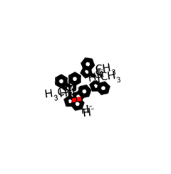 C[Si](C)=[Hf]([CH2]c1ccccc1)([CH2]c1ccccc1)([CH]1C=Cc2ccccc21)[CH]1C=Cc2ccccc21.C[Si](C)=[Hf]([CH]1C=Cc2ccccc21)[CH]1C=Cc2ccccc21.[H-].[H-]